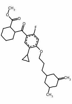 C=C1CC(C)CC(CCCOc2cc(F)c(C(=O)C3CCCCC3C(=O)OC)cc2C2CC2)C1